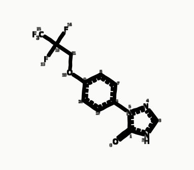 O=c1[nH]cnn1-c1ccc(OCC(F)(F)C(F)(F)F)cc1